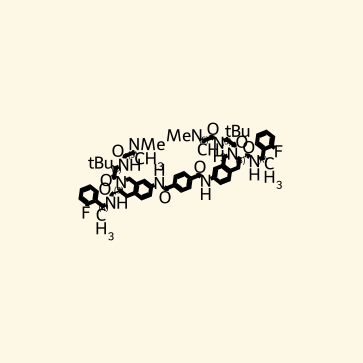 CN[C@@H](C)C(=O)N[C@H](C(=O)N1Cc2cc(NC(=O)c3ccc(C(=O)Nc4ccc5c(c4)CN(C(=O)[C@@H](NC(=O)[C@H](C)NC)C(C)(C)C)[C@H](C(=O)N[C@H](C)c4ccccc4F)C5)cc3)ccc2C[C@H]1C(=O)N[C@H](C)c1ccccc1F)C(C)(C)C